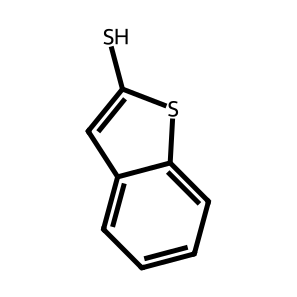 Sc1cc2ccccc2s1